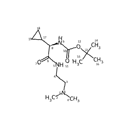 CN(C)CCNC(=O)[C@H](NC(=O)OC(C)(C)C)C1CC1